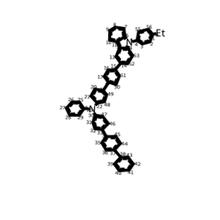 CCc1ccc(-n2c3ccccc3c3cc(-c4ccc(-c5ccc(N(c6ccccc6)c6ccc(-c7ccc(-c8ccccc8)cc7)cc6)cc5)cc4)ccc32)cc1